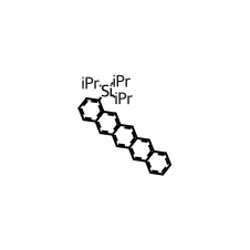 CC(C)[Si](c1cccc2cc3cc4cc5ccccc5cc4cc3cc12)(C(C)C)C(C)C